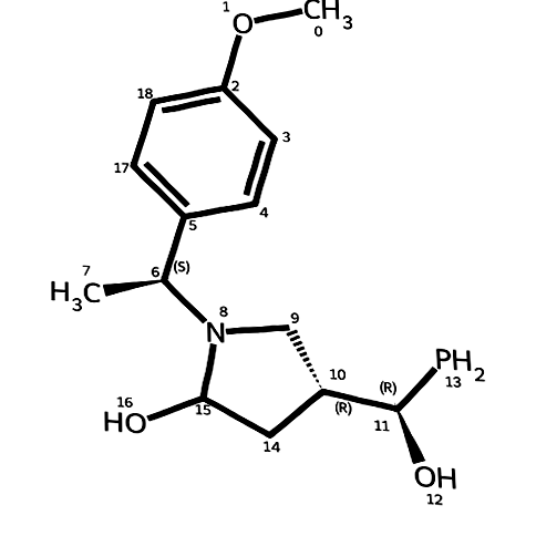 COc1ccc([C@H](C)N2C[C@H]([C@H](O)P)CC2O)cc1